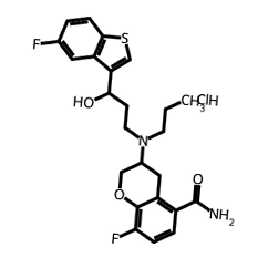 CCCN(CCC(O)c1csc2ccc(F)cc12)C1COc2c(F)ccc(C(N)=O)c2C1.Cl